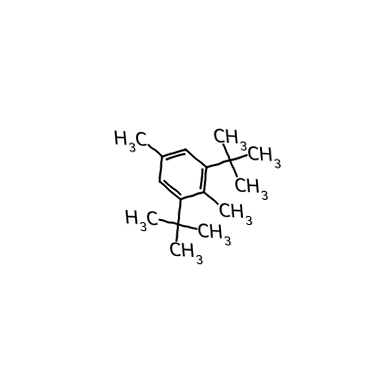 Cc1cc(C(C)(C)C)c(C)c(C(C)(C)C)c1